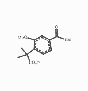 COc1cc(C(=O)C(C)(C)C)ccc1C(C)(C)C(=O)O